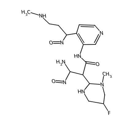 CNCCC(N=O)c1ccncc1NC(=O)C(C(N)N=O)C1NCC(F)CN1C